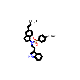 CC(=O)Nc1ccc(S(=O)(=O)N(CCc2c[nH]c3ccccc23)C2CCc3cc(/C=C/C(=O)O)ccc32)cc1